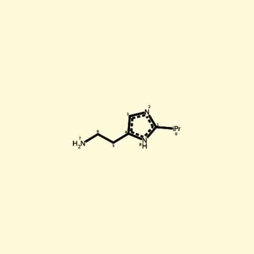 CC(C)c1ncc(CCN)[nH]1